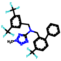 Cn1nnc(N(Cc2cc(C(F)(F)F)cc(C(F)(F)F)c2)Cc2cc(C(F)(F)F)ccc2-c2ccccc2)n1